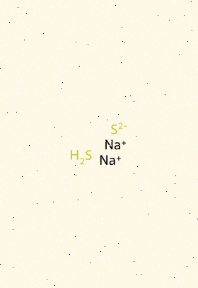 S.[Na+].[Na+].[S-2]